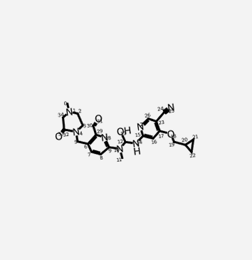 CN1CCN(Cc2ccc(N(C)C(O)Nc3cc(OCC4CC4)c(C#N)cn3)nc2C=O)C(=O)C1